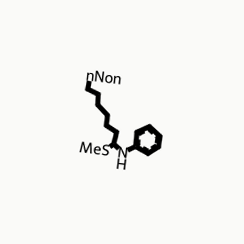 CCCCCCCCCCCCCCCC(Nc1ccccc1)SC